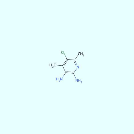 Cc1nc(N)c(N)c(C)c1Cl